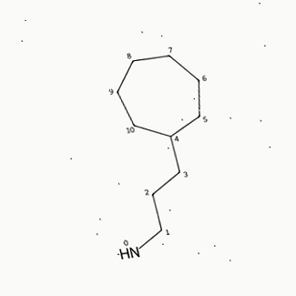 [NH]CCCC1CCCCCC1